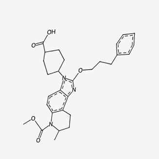 COC(=O)N1c2ccc3c(nc(OCCCc4ccccc4)n3C3CCC(C(=O)O)CC3)c2CCC1C